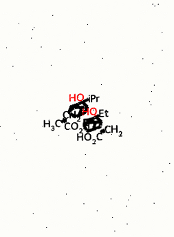 C=C(C)C(=O)O.C=CC(=O)O.CC(C)C1(O)C2CC3CC(C2)CC1C3.CCC1(O)C2CC3CC(C2)CC1C3